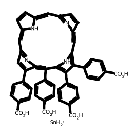 O=C(O)c1ccc(C2=Cc3cc4ccc(cc5nc(cc6[nH]c(c(-c7ccc(C(=O)O)cc7)c2n3)c(-c2ccc(C(=O)O)cc2)c6-c2ccc(C(=O)O)cc2)C=C5)[nH]4)cc1.[SnH2]